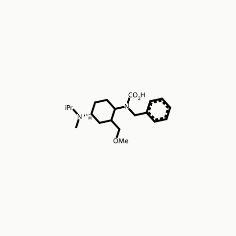 COCC1C[C@H](N(C)C(C)C)CCC1N(Cc1ccccc1)C(=O)O